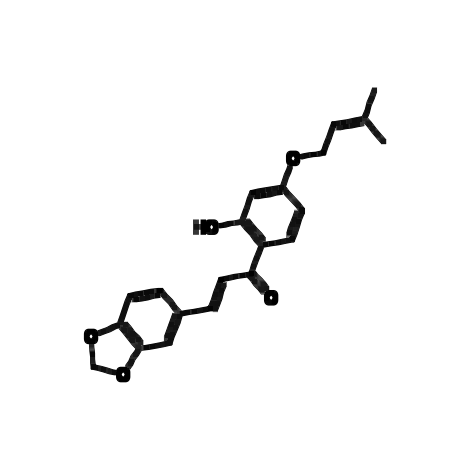 CC(C)=CCOc1ccc(C(=O)/C=C/c2ccc3c(c2)OCO3)c(O)c1